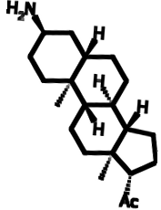 CC(=O)[C@H]1CC[C@H]2[C@@H]3CC[C@H]4C[C@H](N)CC[C@]4(C)[C@H]3CC[C@]12C